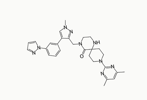 Cc1cc(C)nc(N2CCC3(CC2)NCCN(Cc2nn(C)cc2-c2cccc(-n4cccn4)c2)C3=O)n1